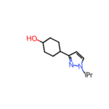 CC(C)n1ccc(C2CCC(O)CC2)n1